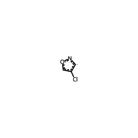 Clc1[c]noc1